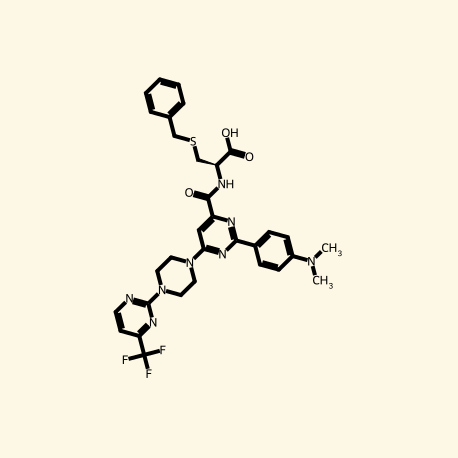 CN(C)c1ccc(-c2nc(C(=O)N[C@@H](CSCc3ccccc3)C(=O)O)cc(N3CCN(c4nccc(C(F)(F)F)n4)CC3)n2)cc1